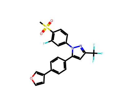 CS(=O)(=O)c1ccc(-n2nc(C(F)(F)F)cc2-c2ccc(-c3ccoc3)cc2)cc1F